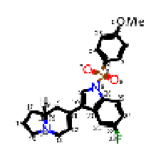 COc1ccc(S(=O)(=O)n2cc(C3=CCN4CCC[C@@H]4C3)c3cc(F)ccc32)cc1